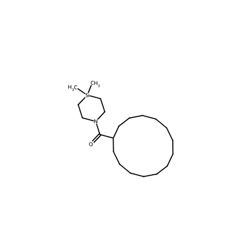 C[Si]1(C)CCN(C(=O)C2CCCCCCCCCCCCC2)CC1